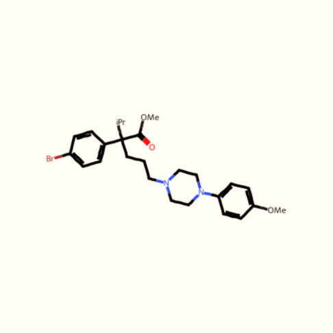 COC(=O)C(CCCN1CCN(c2ccc(OC)cc2)CC1)(c1ccc(Br)cc1)C(C)C